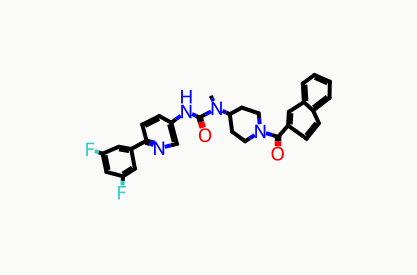 CN(C(=O)Nc1ccc(-c2cc(F)cc(F)c2)nc1)C1CCN(C(=O)c2ccc3ccccc3c2)CC1